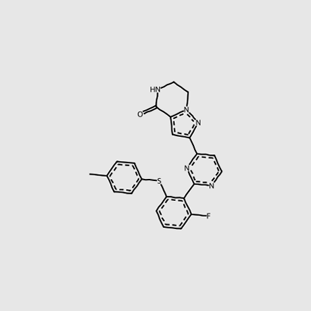 Cc1ccc(Sc2cccc(F)c2-c2nccc(-c3cc4n(n3)CCNC4=O)n2)cc1